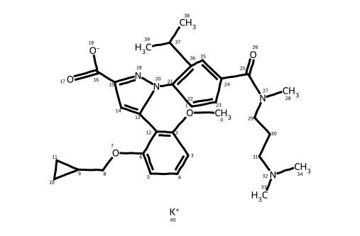 COc1cccc(OCC2CC2)c1-c1cc(C(=O)[O-])nn1-c1ccc(C(=O)N(C)CCCN(C)C)cc1C(C)C.[K+]